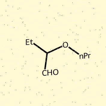 [CH2]CC(C=O)OCCC